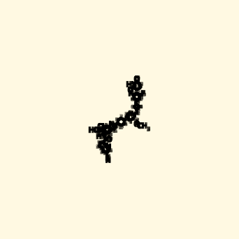 COC[C@@H]1CN(C2CCC(n3cc4cc(NC(=O)c5ccc6cc(C#N)cnn56)c(C(C)(C)O)cc4n3)CC2)CCN1CC1CN(c2cc(F)c([C@H]3CCC(=O)NC3=O)c(F)c2)C1